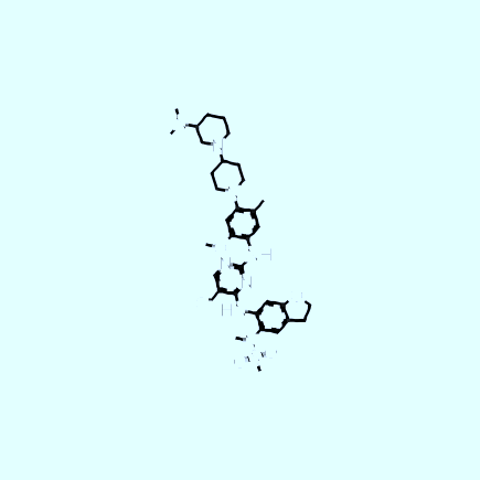 COc1cc(N2CCC(N3CCCC(N(C)C)C3)CC2)c(C)cc1Nc1ncc(Cl)c(Nc2cc3c(cc2N(C)S(C)(=O)=O)CCO3)n1